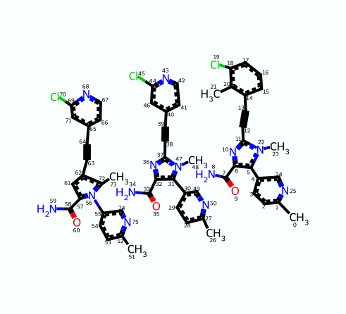 Cc1ccc(-c2c(C(N)=O)nc(C#Cc3cccc(Cl)c3C)n2C)cn1.Cc1ccc(-c2c(C(N)=O)nc(C#Cc3ccnc(Cl)c3)n2C)cn1.Cc1ccc(-n2c(C(N)=O)cc(C#Cc3ccnc(Cl)c3)c2C)cn1